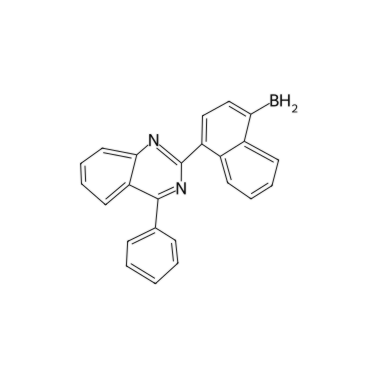 Bc1ccc(-c2nc(-c3ccccc3)c3ccccc3n2)c2ccccc12